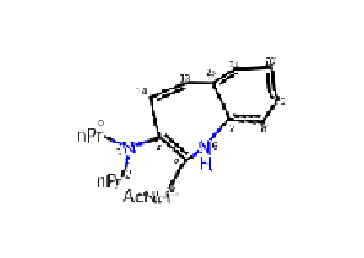 CCCN(CCC)C1=C(NC(C)=O)Nc2ccccc2C=C1